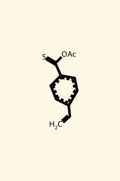 C=Cc1ccc(C(=S)OC(C)=O)cc1